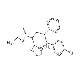 CCOC(=O)C(CC(c1ccccc1)C(C)c1ccc(Cl)cc1)c1ncco1